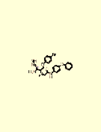 CN(CC(=O)Nc1ccc(Oc2ccccc2)cc1)C(COc1ccc(Br)cc1)/C(N)=N/N=N